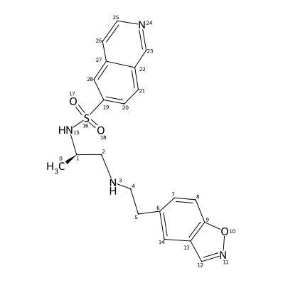 C[C@H](CNCCc1ccc2oncc2c1)NS(=O)(=O)c1ccc2cnccc2c1